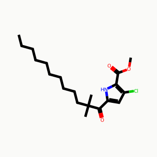 CCCCCCCCCCC(C)(C)C(=O)c1cc(Cl)c(C(=O)OC)[nH]1